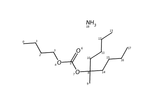 CCCCOC(=O)OC(C)(CCCC)CCCC.N